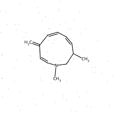 C=C1/C=C\C=C/C(C)CN(C)/C=C\1